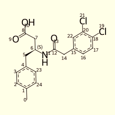 Cc1ccc(C[C@@H](CC(=O)O)NC(=O)Cc2ccc(Cl)c(Cl)c2)cc1